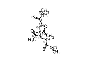 CNC(=S)N=[N][Cu](=[N]NC(=S)NC)([C](C)=O)[C](C)=O